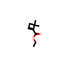 CCOC(=O)C1=CCC1(C)C